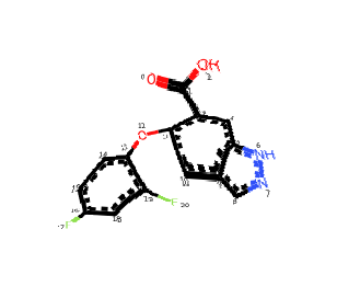 O=C(O)c1cc2[nH]ncc2cc1Oc1ccc(F)cc1F